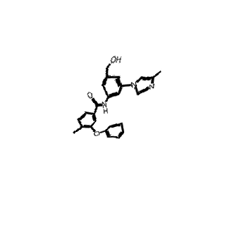 Cc1cn(-c2cc(CO)cc(NC(=O)c3ccc(C)c(Oc4ccccc4)c3)c2)cn1